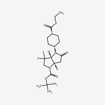 CCOC(=O)[C@H]1CC[C@@H](N2C(=O)C[C@H]3[C@@H]2C(F)(F)CN3C(=O)OC(C)(C)C)CC1